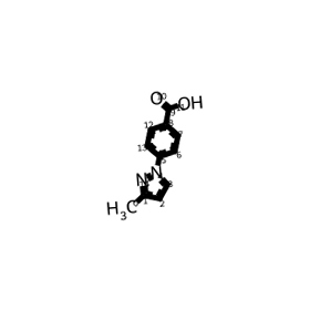 Cc1ccn(-c2ccc(C(=O)O)cc2)n1